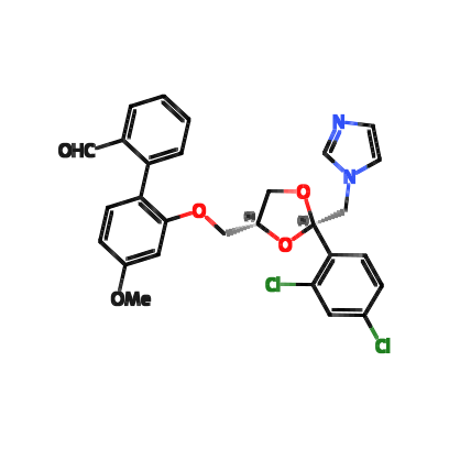 COc1ccc(-c2ccccc2C=O)c(OC[C@@H]2CO[C@@](Cn3ccnc3)(c3ccc(Cl)cc3Cl)O2)c1